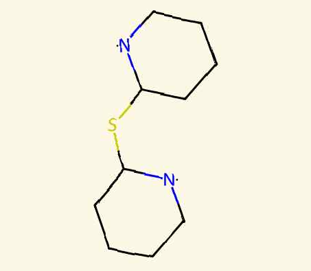 C1CCC(SC2CCCC[N]2)[N]C1